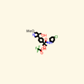 COc1cc(CO)c(-c2ccc(C3(C(=O)Nc4ccc(Cl)cc4)COC3)cc2)cn1.O=C(O)C(F)(F)F